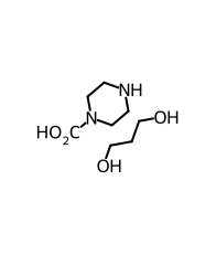 O=C(O)N1CCNCC1.OCCCO